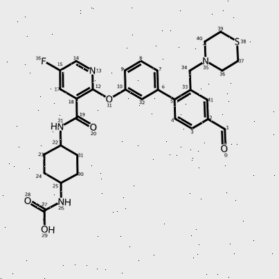 O=Cc1ccc(-c2cccc(Oc3ncc(F)cc3C(=O)NC3CCC(NC(=O)O)CC3)c2)c(CN2CCSCC2)c1